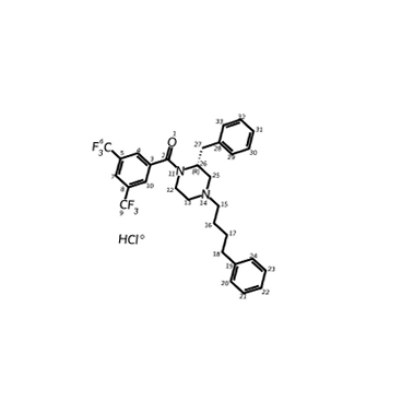 Cl.O=C(c1cc(C(F)(F)F)cc(C(F)(F)F)c1)N1CCN(CCCCc2ccccc2)C[C@H]1Cc1ccccc1